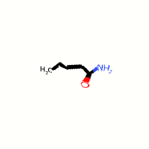 C=CC=CC(N)=O